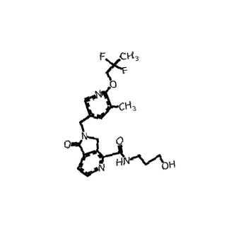 Cc1cc(CN2Cc3c(ccnc3C(=O)NCCCO)C2=O)cnc1OCC(C)(F)F